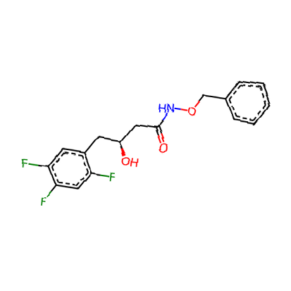 O=C(C[C@@H](O)Cc1cc(F)c(F)cc1F)NOCc1ccccc1